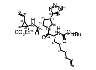 C=CCCCCC[C@H](NC(=O)OC(C)(C)C)C(=O)N1C[C@H](c2nn[nH]n2)C[C@H]1C(=O)N[C@]1(C(=O)OCC)C[C@H]1C=C